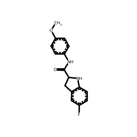 COc1ccc(NC(=O)C2Cc3cc(F)ccc3N2)cc1